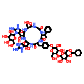 CC(c1ccccc1)C1NC(=O)CNC(=O)C(CO)NC(=O)C(C(O)C2CNC(=N)N2C2OC(CO)C(O)C(O)C2O)NC(=O)C(C(O)C2CNC(=N)N2)NC(=O)C(Cc2ccc(OC3OC(CO)C(OC4OC5COC(C6CCCCC6)OC5C(O)C4O)C(O)C3O)cc2)NC1=O